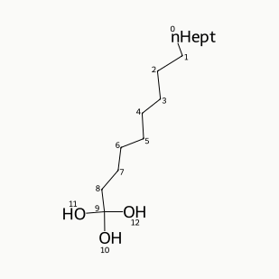 [CH2]CCCCCCCCCCCCCCC(O)(O)O